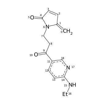 C=C1C=CC(=O)N1CCC(=O)c1ccc(NCC)nc1